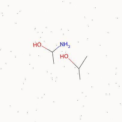 CC(C)O.CC(N)O